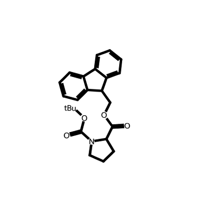 CC(C)(C)OC(=O)N1CCCC1C(=O)OCC1c2ccccc2-c2ccccc21